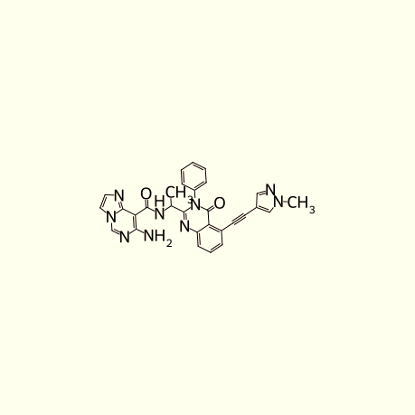 CC(NC(=O)c1c(N)ncn2ccnc12)c1nc2cccc(C#Cc3cnn(C)c3)c2c(=O)n1-c1ccccc1